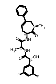 C[C@H](NC(=O)[C@H](O)c1cc(F)cc(F)c1)C(=O)N[C@H]1CC=C(c2ccccc2)CN(C)C1=O